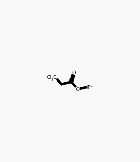 CC(C)OC(=O)CC(Cl)(Cl)Cl